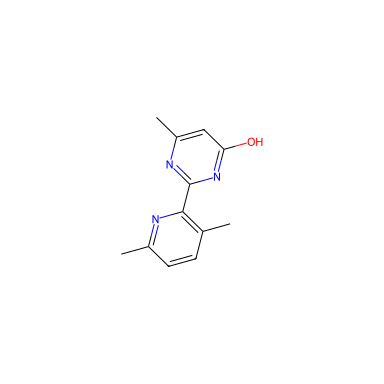 Cc1cc(O)nc(-c2nc(C)ccc2C)n1